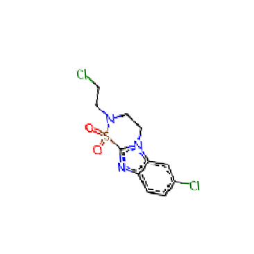 O=S1(=O)c2nc3ccc(Cl)cc3n2CCN1CCCl